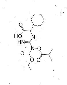 CCOC(=O)N(OC(=O)C(C)C)C(=N)N(C)C(C(=O)O)C1CCCCC1